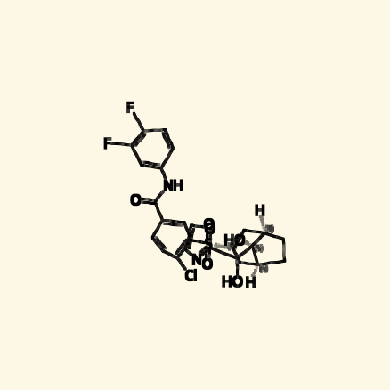 O=C(Nc1ccc(F)c(F)c1)c1ccc(Cl)c(S(=O)(=O)[C@@H]2C[C@H]3CC[C@@H](C2)[C@@]3(O)C(O)c2ncco2)c1